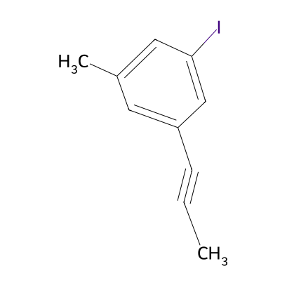 CC#Cc1cc(C)cc(I)c1